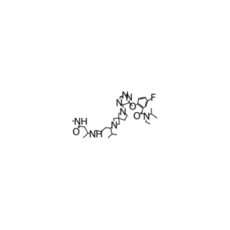 CCN(C(=O)c1cc(F)ccc1Oc1nncnc1N1CCC2(C1)CN(C(CCCNC(C)CC(=O)NC)C(C)C)C2)C(C)C